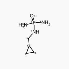 NP(N)(=O)NCC1CC1